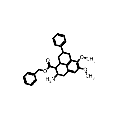 COc1cc2c3c(c1OC)CC(c1ccccc1)CC3C(C(=O)OCc1ccccc1)C(N)C2